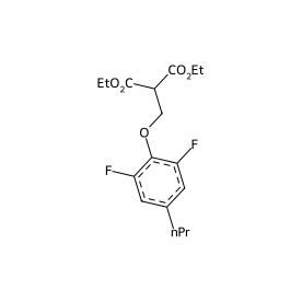 CCCc1cc(F)c(OCC(C(=O)OCC)C(=O)OCC)c(F)c1